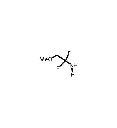 COCC(F)(F)NF